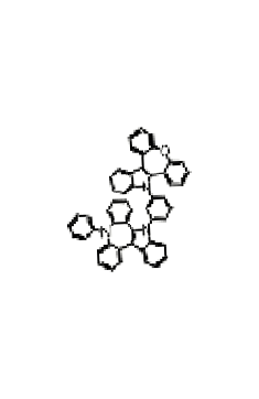 c1ccc(N2c3ccccc3-c3c(n(-c4cccc(-n5c6c(c7ccccc75)-c5ccccc5Oc5ccccc5-6)c4)c4ccccc34)-c3ccccc32)cc1